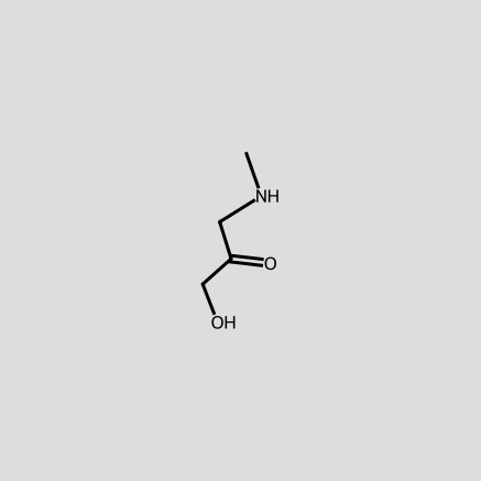 CNCC(=O)CO